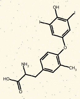 Cc1cc(CC(N)C(=O)O)ccc1Oc1cc(I)c(O)c(I)c1